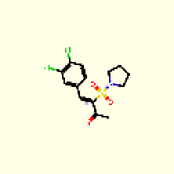 CC(=O)/C(=C/c1ccc(Cl)c(Cl)c1)S(=O)(=O)N1CCCC1